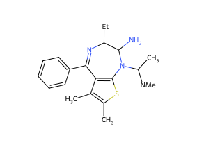 CCC1N=C(c2ccccc2)c2c(sc(C)c2C)N(C(C)NC)C1N